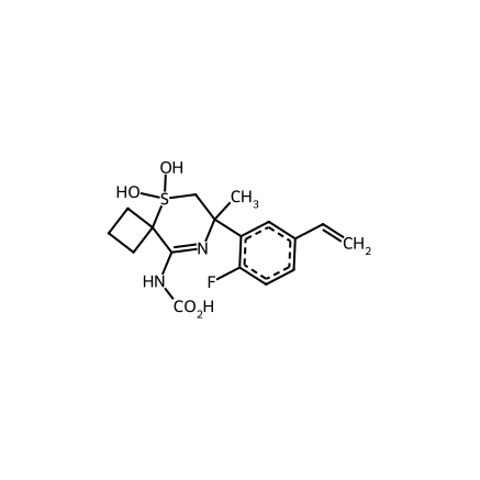 C=Cc1ccc(F)c(C2(C)CS(O)(O)C3(CCC3)C(NC(=O)O)=N2)c1